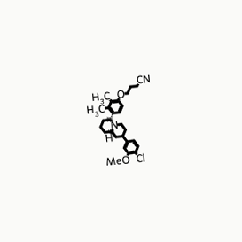 COc1cc(C2CCN3[C@@H](CCC[C@@H]3c3ccc(OCCCC#N)c(C)c3C)C2)ccc1Cl